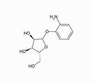 Nc1ccccc1OC1O[C@H](CO)[C@@H](O)[C@H]1O